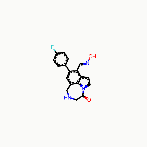 O=C1CNCc2cc(-c3ccc(F)cc3)c(C=NO)c3ccn1c23